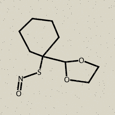 O=NSC1(C2OCCO2)CCCCC1